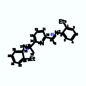 CCc1ccccc1/N=C(\C)c1cccc(/C(C)=N/c2ccccc2CC)n1